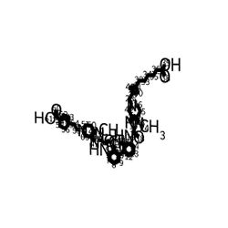 Cn1c(C(=O)Nc2cccc(-c3cccc(NC(=O)c4nc5c(n4C)CCN(CC46CC(CCCCCC(=O)O)(C4)C6)C5)c3Cl)c2Cl)nc2c1CCN(CCC13CCC(C(=O)O)(CC1)C3)C2